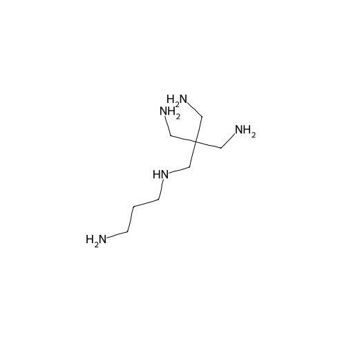 NCCCNCC(CN)(CN)CN